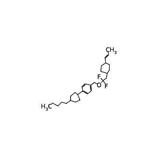 CC=CC1CCC(CC(F)(F)OCc2ccc(C3CCC(CCCCC)CC3)cc2)CC1